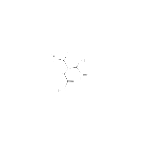 O=[PH2]C(O)N(CC(=O)O)C(O)[PH2]=O